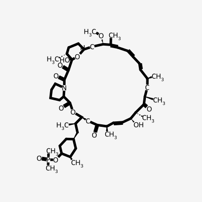 CO[C@H]1C[C@@H]2CC[C@@H](C)[C@@](O)(O2)C(=O)C(=O)N2CCCCC2C(=O)O[C@H]([C@H](C)C[C@@H]2CCC(OP(C)(C)=O)[C@H](C)C2)CC(=O)[C@H](C)/C=C/[C@@H](O)[C@@H](C)C(=O)[C@H](C)C[C@H](C)/C=C/C=C/C=C/1C